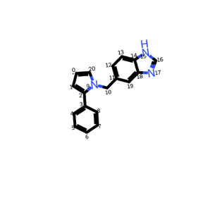 [c]1cc(-c2ccccc2)n(Cc2ccc3[nH]cnc3c2)c1